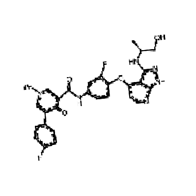 CC(C)n1cc(C(=O)Nc2ccc(Oc3ccnc4[nH]nc(N[C@@H](C)CO)c34)c(F)c2)c(=O)c(-c2ccc(F)cc2)c1